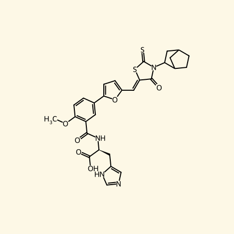 COc1ccc(-c2ccc(/C=C3\SC(=S)N(C4CC5CCC4C5)C3=O)o2)cc1C(=O)N[C@@H](Cc1cnc[nH]1)C(=O)O